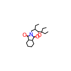 CCC(CN1C(=O)C2CCCCC2C1=O)C1OC1(CC)CC